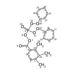 Cc1ccc(C(=O)OOP(=O)(OOc2ccccc2)OOc2ccccc2)c(C)c1C